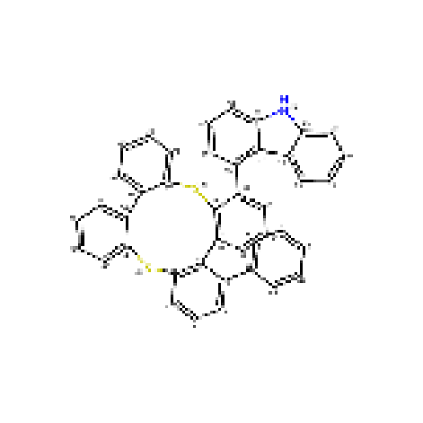 c1ccc(-c2cccc3c2-c2cccc(-c4cccc5[nH]c6ccccc6c45)c2Sc2ccccc2-c2ccccc2S3)cc1